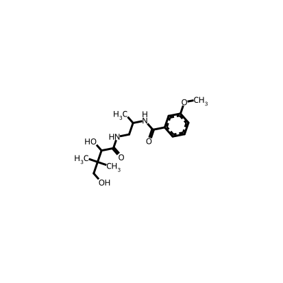 COc1cccc(C(=O)NC(C)CNC(=O)C(O)C(C)(C)CO)c1